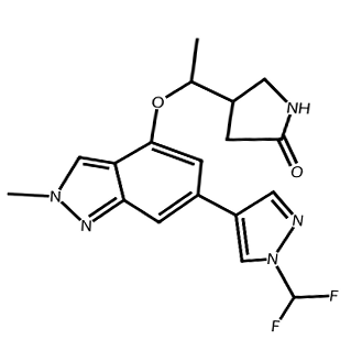 CC(Oc1cc(-c2cnn(C(F)F)c2)cc2nn(C)cc12)C1CNC(=O)C1